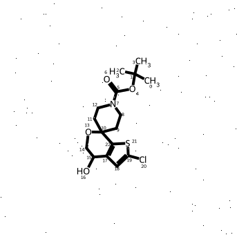 CC(C)(C)OC(=O)N1CCC2(CC1)OCC(O)c1cc(Cl)sc12